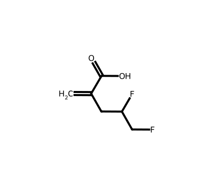 C=C(CC(F)CF)C(=O)O